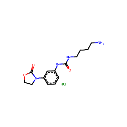 Cl.NCCCCNC(=O)Nc1cccc(N2CCOC2=O)c1